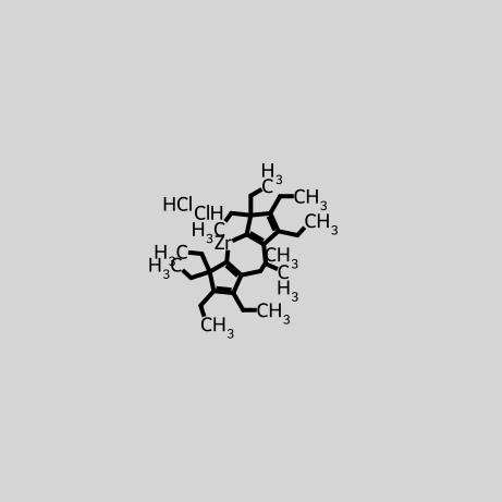 CCC1=C(CC)C(CC)(CC)[C]([Zr][C]2=C(CC)C(CC)=C(CC)C2(CC)CC)=C1CC.Cl.Cl